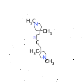 CN1CCC(C)(C/C=C\CCCC2(C)CCN(C)CC2)CC1